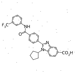 O=C(O)c1ccc2c(c1)nc(-c1ccc(C(=O)Nc3cccc(C(F)(F)F)c3)cc1)n2C1CCCC1